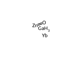 [GaH3].[O]=[Zn].[Yb]